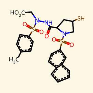 Cc1ccc(S(=O)(=O)N(CC(=O)O)NC(=O)C2CC(S)CN2S(=O)(=O)c2ccc3ccccc3c2)cc1